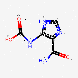 NC(=O)c1nc[nH]c1NC(=O)O